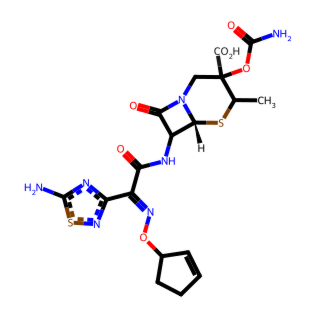 CC1S[C@@H]2C(NC(=O)C(=NOC3C=CCC3)c3nsc(N)n3)C(=O)N2CC1(OC(N)=O)C(=O)O